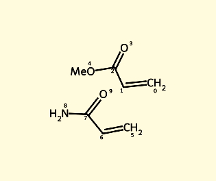 C=CC(=O)OC.C=CC(N)=O